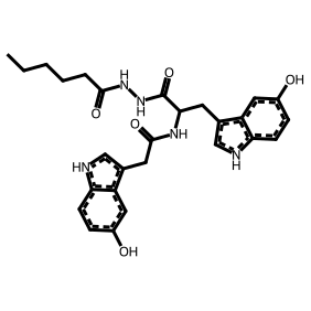 CCCCCC(=O)NNC(=O)C(Cc1c[nH]c2ccc(O)cc12)NC(=O)Cc1c[nH]c2ccc(O)cc12